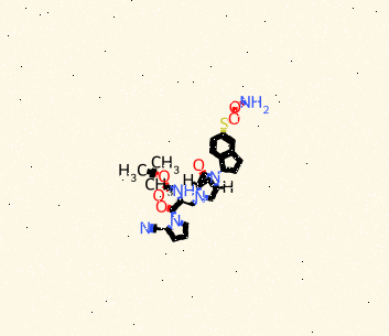 CC(C)(C)OC(=O)N[C@@H](CN1C[C@@H]2C[C@H]1C(=O)N2[C@H]1CCc2cc(SOON)ccc21)C(=O)N1CCC[C@H]1C#N